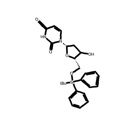 CC(C)(C)[Si](OC[C@@H]1O[C@H](n2ccc(=O)[nH]c2=O)CC1O)(c1ccccc1)c1ccccc1